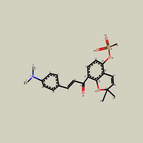 CCN(CC)c1ccc(C=CC(=O)c2ccc(OS(C)(=O)=O)c3c2OC(C)(C)C=C3)cc1